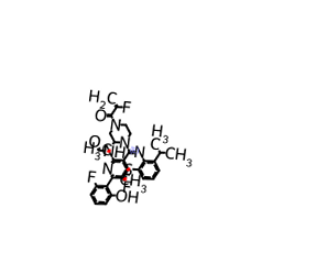 C=C(F)C(=O)N1CCN(/C(=N/c2c(SC)cccc2C(C)C)c2cc(F)c(-c3c(O)cccc3F)nc2NC=O)C(C)C1